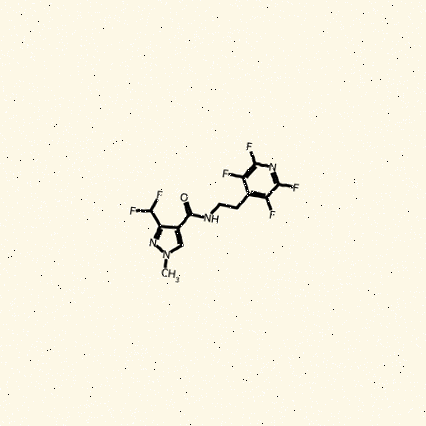 Cn1cc(C(=O)NCCc2c(F)c(F)nc(F)c2F)c(C(F)F)n1